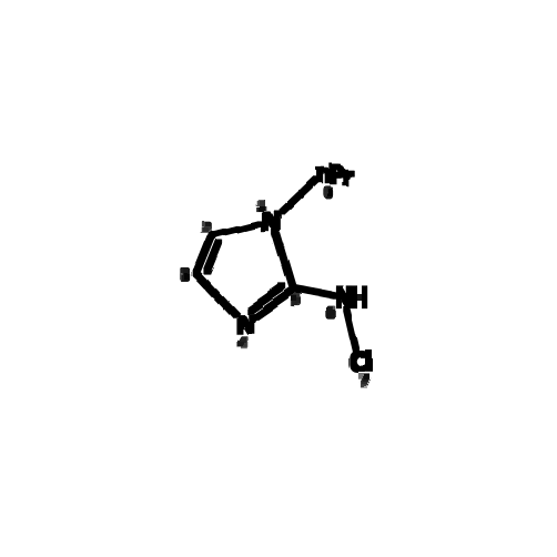 CCCn1ccnc1NCl